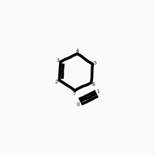 C#C.C1=CCCCC1